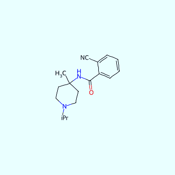 CC(C)N1CCC(C)(NC(=O)c2ccccc2C#N)CC1